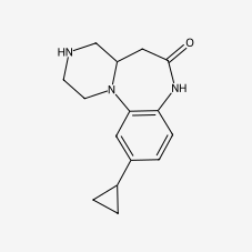 O=C1CC2CNCCN2c2cc(C3CC3)ccc2N1